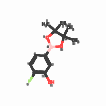 CC1(C)OB(c2ccc(F)c(O)c2)OC1(C)C